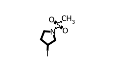 CS(=O)(=O)N1CCC(I)C1